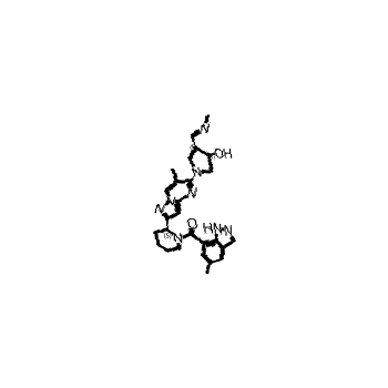 CN=C[C@@H]1CN(c2nc3cc([C@@H]4CCCCN4C(=O)c4cc(C)cc5cn[nH]c45)nn3cc2C)C[C@@H]1O